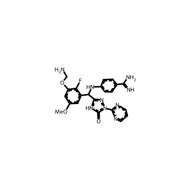 COc1cc(OCN)c(F)c(C(Nc2ccc(C(=N)N)cc2)c2nn(-c3ncccn3)c(=O)[nH]2)c1